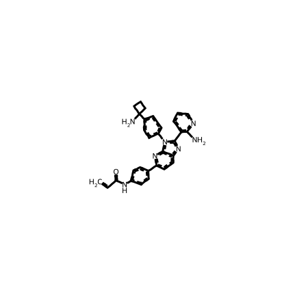 C=CC(=O)Nc1ccc(-c2ccc3nc(-c4cccnc4N)n(-c4ccc(C5(N)CCC5)cc4)c3n2)cc1